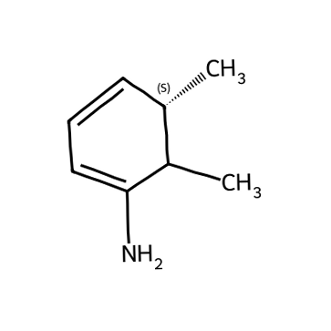 CC1C(N)=CC=C[C@@H]1C